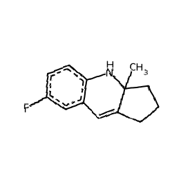 CC12CCCC1=Cc1cc(F)ccc1N2